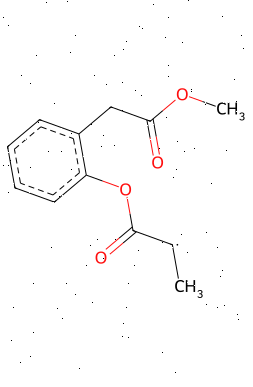 C[CH]C(=O)Oc1ccccc1CC(=O)OC